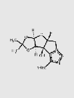 CCCCCCc1nnn2c1[C@@]1(O)[C@@H](C2)O[C@@H]2OC(C)(C)O[C@@H]21